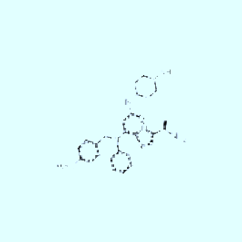 COc1ccc(CN(c2ccccc2)c2cc(N[C@H]3CC[C@H](N)CC3)nn3c(C(N)=O)cnc23)cc1